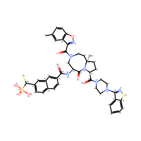 Cc1ccc2onc(C(=O)N3CC[C@H]4CC[C@@H](C(=O)N5CCN(c6nsc7ccccc67)CC5)N4C(=O)[C@@H](NC(=O)c4ccc5ccc(C(F)P(=O)(O)O)cc5c4)C3)c2c1